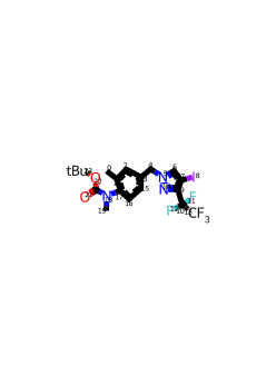 Cc1cc(Cn2cc(I)c(C(F)(F)C(F)(F)F)n2)ccc1N(C)C(=O)OC(C)(C)C